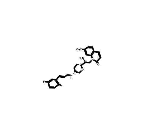 COc1ccc2ccc(=O)n(C[C@H](N)[C@@H]3CC[C@@H](NCC=Cc4cc(F)ccc4F)CO3)c2c1